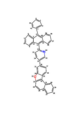 c1ccc(-c2c3ccccc3c(-c3ccc(-c4ccc5c(c4)oc4ccc6ccccc6c45)cn3)c3ccccc23)cc1